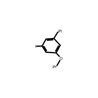 CC(C)Oc1cc(I)cc(C(C)C)c1